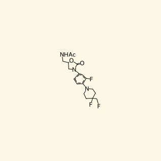 CC(=O)NCC1CN(c2ccc(N3CCC(F)(CF)CC3)c(F)c2)C(=O)O1